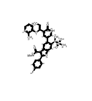 CC=C(Oc1cccnc1C)c1cc(-c2cc3c(C(=O)NC)c(-c4ccc(F)cc4)oc3cc2N(C)S(C)(=O)=O)c[nH]c1=O